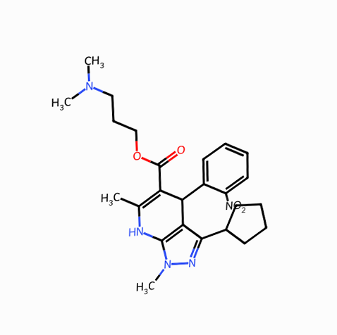 CC1=C(C(=O)OCCCN(C)C)C(c2ccccc2[N+](=O)[O-])c2c(C3CCCC3)nn(C)c2N1